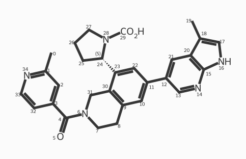 Cc1cc(C(=O)N2CCc3cc(-c4cnc5[nH]cc(C)c5c4)cc([C@@H]4CCCN4C(=O)O)c3C2)ccn1